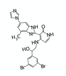 Cc1cc(-n2ccnc2)cc2[nH]c(-c3c(NCC(O)c4cc(Br)cc(Br)c4)cc[nH]c3=O)nc12